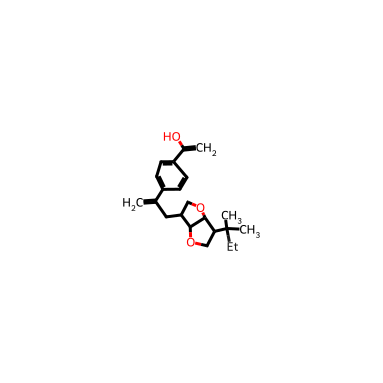 C=C(O)c1ccc(C(=C)CC2COC3C2OCC3C(C)(C)CC)cc1